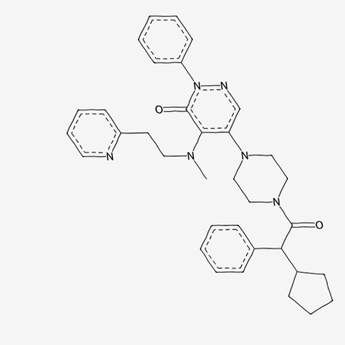 CN(CCc1ccccn1)c1c(N2CCN(C(=O)C(c3ccccc3)C3CCCC3)CC2)cnn(-c2ccccc2)c1=O